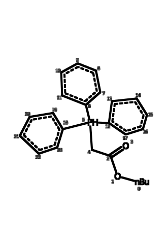 CCCCOC(=O)C[PH](c1ccccc1)(c1ccccc1)c1ccccc1